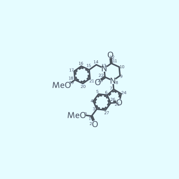 COC(=O)c1ccc2c(N3CCC(=O)N(Cc4ccc(OC)cc4)C3=O)coc2c1